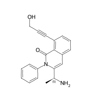 C[C@H](N)c1cc2cccc(C#CCO)c2c(=O)n1-c1ccccc1